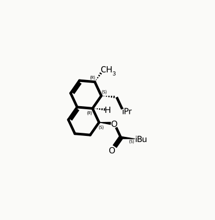 CC[C@H](C)C(=O)O[C@H]1CCC=C2C=C[C@H](C)[C@H](CC(C)C)[C@H]21